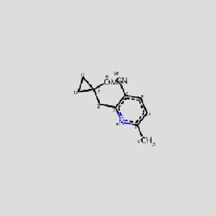 COC1(Cc2nc(C)ccc2C#N)CC1